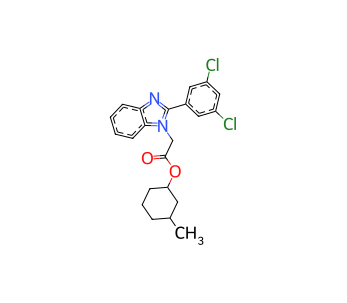 CC1CCCC(OC(=O)Cn2c(-c3cc(Cl)cc(Cl)c3)nc3ccccc32)C1